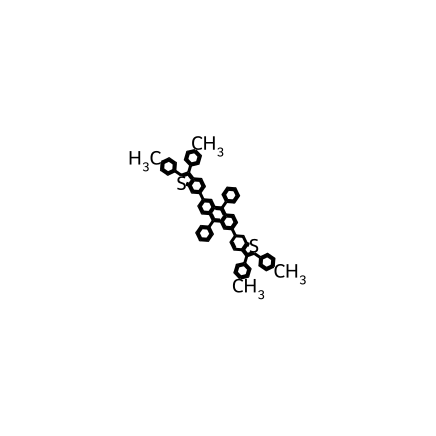 Cc1ccc(-c2sc3c(c2-c2ccc(C)cc2)C=CC(c2ccc4c(-c5ccccc5)c5cc(-c6ccc7c(-c8ccc(C)cc8)c(-c8ccc(C)cc8)sc7c6)ccc5c(-c5ccccc5)c4c2)C3)cc1